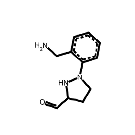 NCc1ccccc1N1CCC(C=O)N1